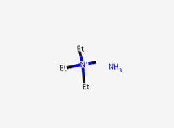 CC[N+](C)(CC)CC.N